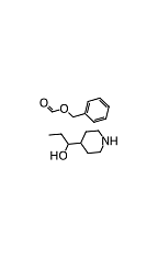 CCC(O)C1CCNCC1.O=COCc1ccccc1